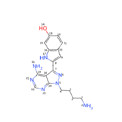 NCCCCn1nc(-c2cc3ccc(O)cc3[nH]2)c2c(N)ncnc21